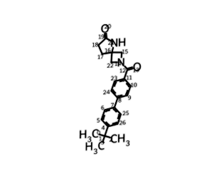 CC(C)(C)c1ccc(-c2ccc(C(=O)N3CC4(CCC(=O)N4)C3)cc2)cc1